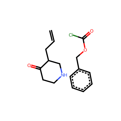 C=CCC1CNCCC1=O.O=C(Cl)OCc1ccccc1